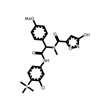 COc1ccc(C(C(=O)Nc2ccc(S(C)(C)C)c(Cl)c2)N(C)C(=O)c2cc(O)no2)cc1